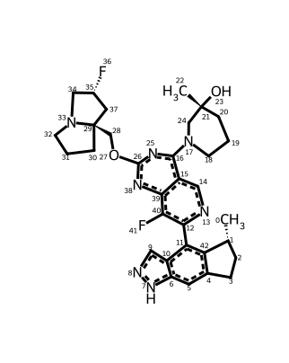 C[C@@H]1CCc2cc3[nH]ncc3c(-c3ncc4c(N5CCC[C@@](C)(O)C5)nc(OC[C@@]56CCCN5C[C@H](F)C6)nc4c3F)c21